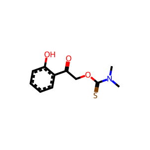 CN(C)C(=S)OCC(=O)c1ccccc1O